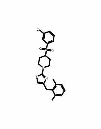 Cc1cccc(C)c1Cc1csc(N2CCC(S(=O)(=O)c3cccc(Cl)c3)CC2)n1